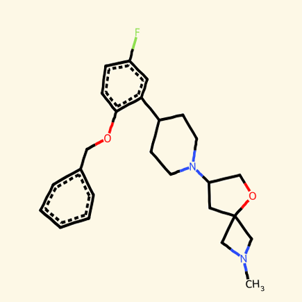 CN1CC2(CC(N3CCC(c4cc(F)ccc4OCc4ccccc4)CC3)CO2)C1